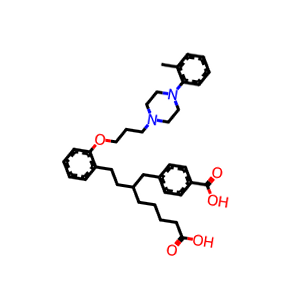 Cc1ccccc1N1CCN(CCCOc2ccccc2CCC(CCCCC(=O)O)Cc2ccc(C(=O)O)cc2)CC1